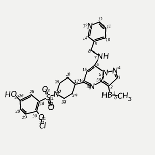 CBc1cnn2c(NCc3cccnc3)cc(C3CCN(S(=O)(=O)c4cc(O)ccc4OCl)CC3)nc12